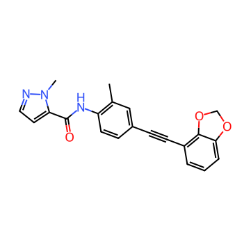 Cc1cc(C#Cc2cccc3c2OCO3)ccc1NC(=O)c1ccnn1C